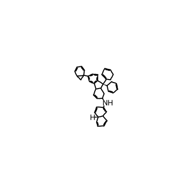 C1=CCCC([C@@]2(C3C=CC=CC3)c3ccc(C45C=CC=CC4C5)cc3C3C=CC(NC4=CC5C=CC=C[C@@H]5C=C4)CC32)=C1